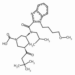 COCCCCn1c(C(=O)N(CC(C)C)[C@H]2C[C@@H](C(=O)CC(C)(C)C)CN(C(=O)O)C2)nc2ccccc21